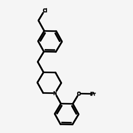 CC(C)Oc1ccccc1N1CCC(Cc2cccc(CCl)c2)CC1